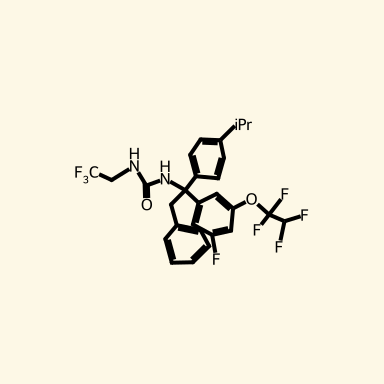 CC(C)c1ccc(C(Cc2ccccc2)(NC(=O)NCC(F)(F)F)c2cc(F)cc(OC(F)(F)C(F)F)c2)cc1